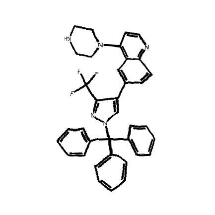 FC(F)(F)c1nn(C(c2ccccc2)(c2ccccc2)c2ccccc2)cc1-c1ccc2nccc(N3CCNCC3)c2c1